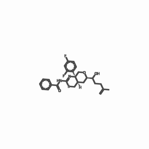 C=C(C)CCC(O)[C@H]1C[C@H]2CSC(NC(=O)c3ccccc3)=N[C@@]2(c2ccc(F)cc2F)CO1